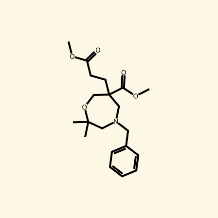 COC(=O)CCC1(C(=O)OC)COC(C)(C)CN(Cc2ccccc2)C1